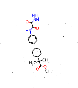 COC(=O)C(C)(C)[C@H]1CC[C@H](c2ccc(NC(=O)C(=O)NN)cc2)CC1